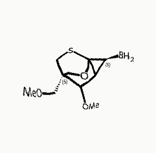 B[C@H]1C2C(OC)[C@@]3(COC)CSC21O3